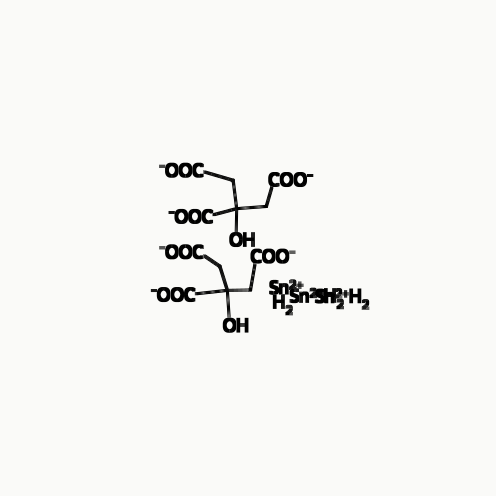 O=C([O-])CC(O)(CC(=O)[O-])C(=O)[O-].O=C([O-])CC(O)(CC(=O)[O-])C(=O)[O-].[SnH2+2].[SnH2+2].[SnH2+2]